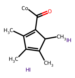 CC1=C(C)C(C)C([C](=O)[Co])=C1C.I.I